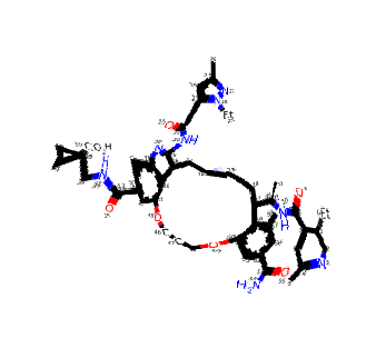 CCC1CN=C(C)C=C1C(=O)N[C@H](C)C1C/C=C/CC2C(NC(=O)c3cc(C)nn3CC)=Nc3cc(C(=O)NCC4(C(=O)O)CC4)cc(c32)OCCCOc2cc(C(N)=O)cc(C)c21